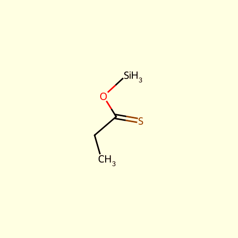 CCC(=S)O[SiH3]